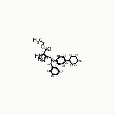 CCOC(=O)c1[nH]nnc1CN(Cc1ccccc1)c1ccc(C2CCCCC2)cc1